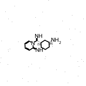 N=C([C@H]1CCC[C@@H](N)C1)n1ccccc1=N